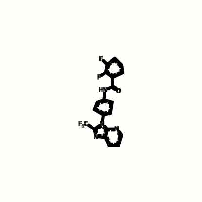 O=C(Nc1ccc(-n2c(C(F)(F)F)nc3cccnc32)cc1)c1cccc(F)c1F